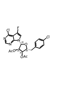 CC(=O)O[C@@H]1[C@H](OC(C)=O)[C@@H](Cc2ccc(Cl)cc2)O[C@H]1n1cc(F)c2c(Cl)ncnc21